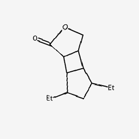 CCC1CC(CC)C2C3C(=O)OCC3C12